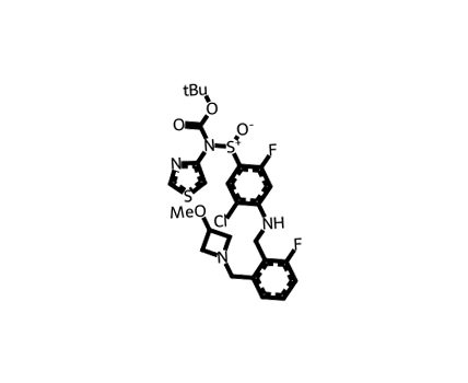 COC1CN(Cc2cccc(F)c2CNc2cc(F)c([S+]([O-])N(C(=O)OC(C)(C)C)c3cscn3)cc2Cl)C1